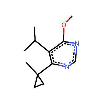 COc1ncnc(C2(C)CC2)c1C(C)C